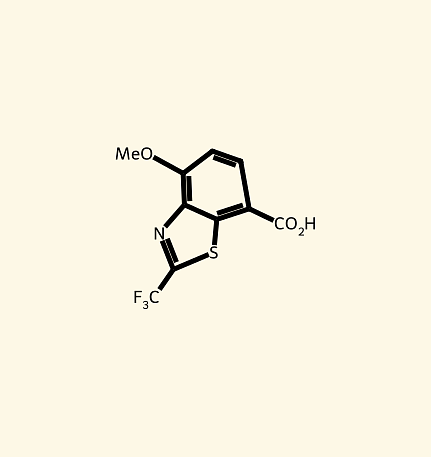 COc1ccc(C(=O)O)c2sc(C(F)(F)F)nc12